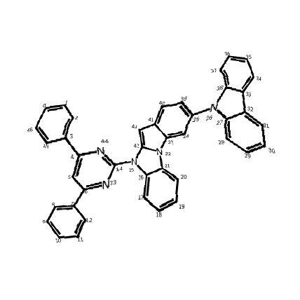 c1ccc(-c2cc(-c3ccccc3)nc(-n3c4ccccc4n4c5cc(-n6c7ccccc7c7ccccc76)ccc5cc34)n2)cc1